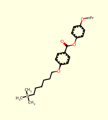 CCCOc1ccc(OC(=O)c2ccc(OCCCCCC[Si](C)(C)C)cc2)cc1